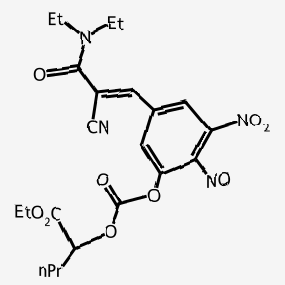 CCCC(OC(=O)Oc1cc(/C=C(\C#N)C(=O)N(CC)CC)cc([N+](=O)[O-])c1N=O)C(=O)OCC